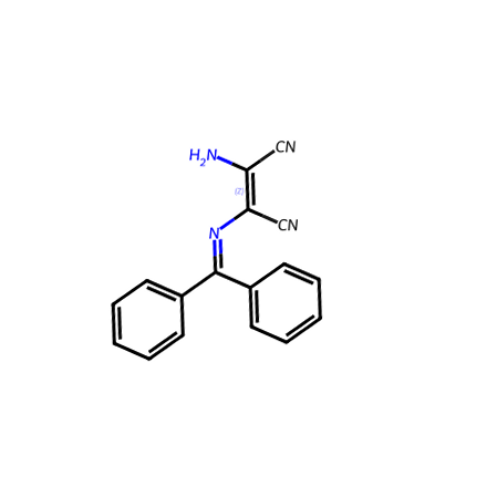 N#C/C(N)=C(\C#N)N=C(c1ccccc1)c1ccccc1